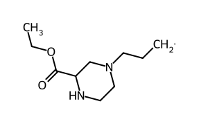 [CH2]CCN1CCNC(C(=O)OCC)C1